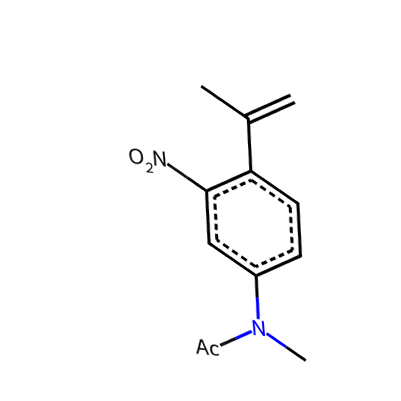 C=C(C)c1ccc(N(C)C(C)=O)cc1[N+](=O)[O-]